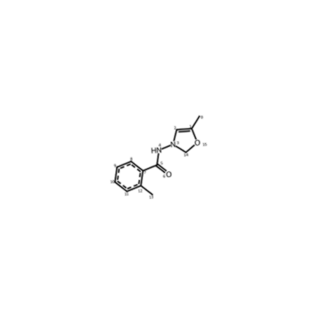 CC1=CN(NC(=O)c2ccccc2C)CO1